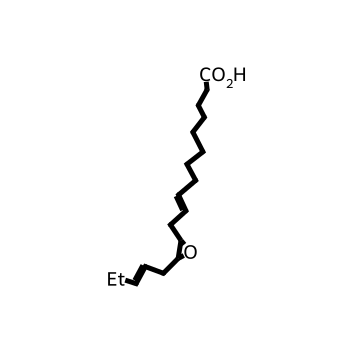 CC/C=C/CC1OC1C/C=C/CCCCCCCC(=O)O